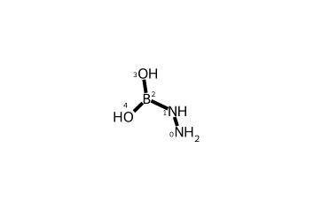 NNB(O)O